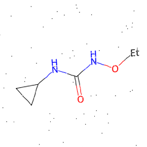 CCONC(=O)NC1CC1